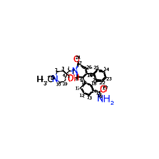 CN1CCC(O)(Cn2cc(-c3cccc(C(N)=O)c3)c(-c3ccccc3)cc2=O)CC1